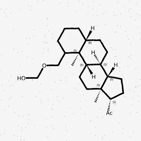 CC(=O)[C@H]1CC[C@H]2[C@@H]3CC[C@H]4CCCC(COCO)[C@]4(C)[C@H]3CC[C@]12C